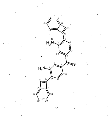 Nc1cc(C(=O)c2ccc(C3=Cc4ccccc43)c(N)c2)ccc1C1=Cc2ccccc21